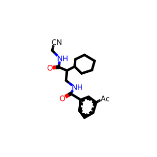 CC(=O)c1cccc(C(=O)NCC(C(=O)NCC#N)C2CCCCC2)c1